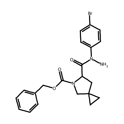 NN(C(=O)C1CC2(CC2)CN1C(=O)OCc1ccccc1)c1ccc(Br)cc1